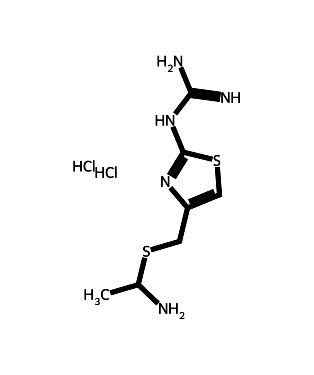 CC(N)SCc1csc(NC(=N)N)n1.Cl.Cl